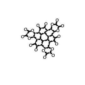 O=c1oc2c(oc1=O)c1c(=O)c(=O)c3c4oc(=O)c(=O)oc4c4c(=O)c(=O)c5c6oc(=O)c(=O)oc6c6c(=O)c(=O)c2c2c6c5c4c3c12